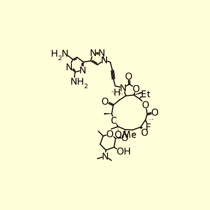 CC[C@H]1OC(=O)[C@@](C)(F)C(=O)[C@H](C)[C@@H](O[C@@H]2OC(C)CC(N(C)C)C2O)[C@](C)(OC)C[C@@H](C)C(=O)[C@H](C)[C@H]2N(CC#CCn3cc(-c4cc(N)nc(N)n4)nn3)C(=O)O[C@]12C